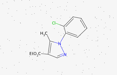 CCOC(=O)c1cnn(-c2ccccc2Cl)c1C